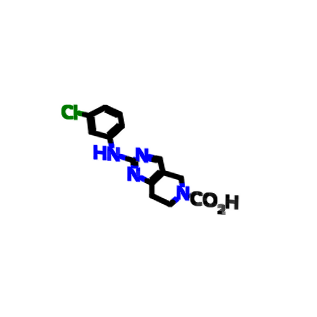 O=C(O)N1CCc2nc(Nc3cccc(Cl)c3)ncc2C1